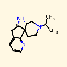 CC(C)N1CCC2(CC1)c1ncccc1C[C@H]2N